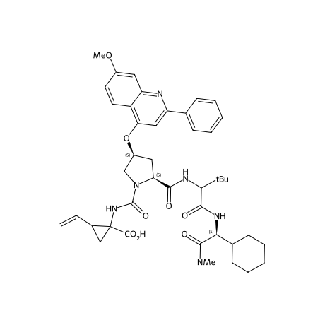 C=CC1CC1(NC(=O)N1C[C@@H](Oc2cc(-c3ccccc3)nc3cc(OC)ccc23)C[C@H]1C(=O)NC(C(=O)N[C@H](C(=O)NC)C1CCCCC1)C(C)(C)C)C(=O)O